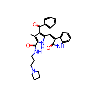 Cc1c(C(=O)NCCCN2CCCC2)[nH]c(C=C2C(=O)Nc3ccccc32)c1C(=O)c1ccccc1